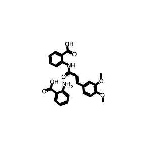 COc1ccc(C=CC(=O)Nc2ccccc2C(=O)O)cc1OC.Nc1ccccc1C(=O)O